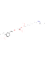 CCCCCCCC/C=C\CCCCCCCC(=O)OCC(O)COCC=Cc1ccc(O)c(OC)c1